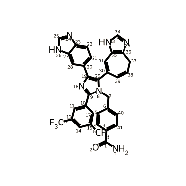 NC(=O)c1ccc(Cn2c(-c3cc(C(F)(F)F)cc(C(F)(F)F)c3)nc(-c3ccc4nc[nH]c4c3)c2C2=Cc3[nH]cnc3CC=C2)cc1